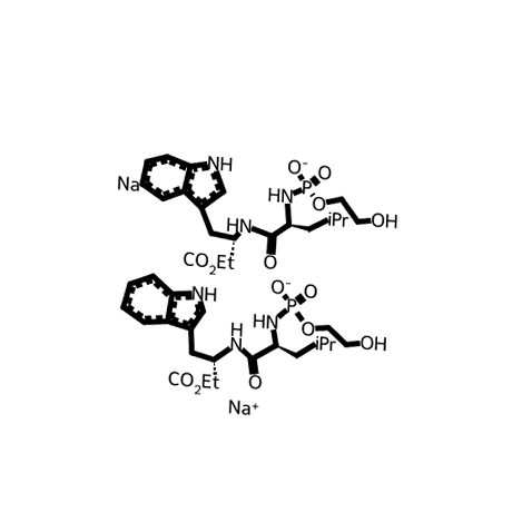 CCOC(=O)[C@H](Cc1c[nH]c2ccccc12)NC(=O)[C@H](CC(C)C)NP(=O)([O-])OCCO.CCOC(=O)[C@H](Cc1c[nH]c2ccccc12)NC(=O)[C@H](CC(C)C)NP(=O)([O-])OCCO.[Na+].[Na+]